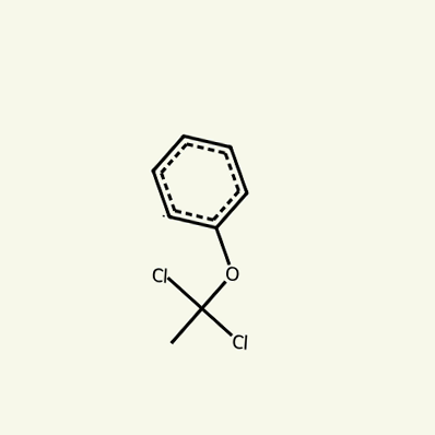 CC(Cl)(Cl)Oc1[c]cccc1